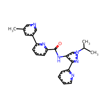 Cc1cncc(-c2cccc(C(=O)Nc3cn(C(C)C)nc3-c3ccccn3)n2)c1